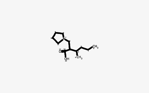 CCCC(C)C(CN1CCCC1)C(=O)O